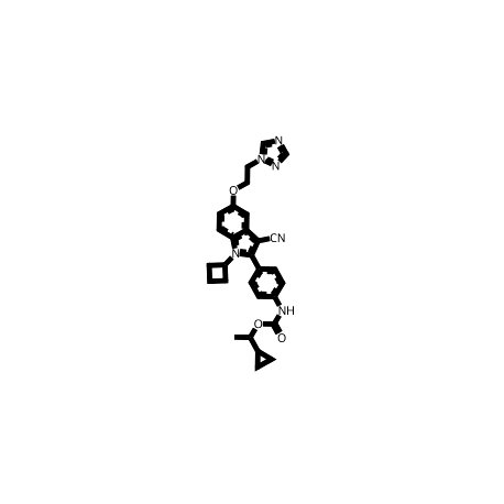 CC(OC(=O)Nc1ccc(-c2c(C#N)c3cc(OCCn4cncn4)ccc3n2C2CCC2)cc1)C1CC1